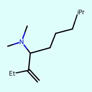 C=C(CC)C(CCCC(C)C)N(C)C